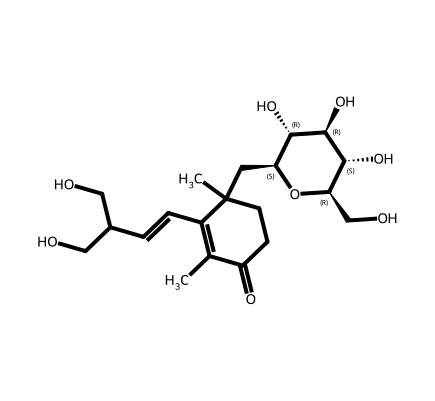 CC1=C(C=CC(CO)CO)C(C)(C[C@@H]2O[C@H](CO)[C@@H](O)[C@H](O)[C@H]2O)CCC1=O